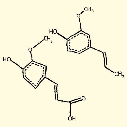 CC=Cc1ccc(O)c(OC)c1.COc1cc(C=CC(=O)O)ccc1O